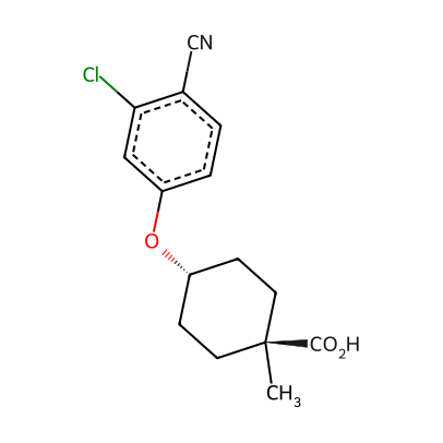 C[C@]1(C(=O)O)CC[C@H](Oc2ccc(C#N)c(Cl)c2)CC1